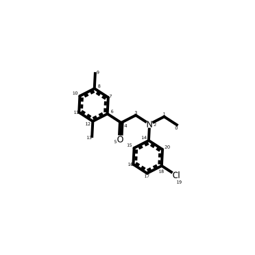 CCN(CC(=O)c1cc(C)ccc1C)c1cccc(Cl)c1